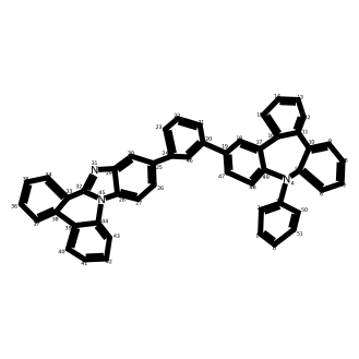 c1ccc(N2c3ccccc3-c3ccccc3-c3cc(-c4cccc(-c5ccc6c(c5)nc5c7ccccc7c7ccccc7n65)c4)ccc32)cc1